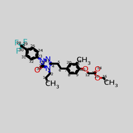 CCCn1c(CCc2ccc(OCC(=O)OCC)c(C)c2)nn(-c2ccc(C(F)(F)F)cc2)c1=O